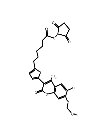 CC(=O)OCOc1cc2oc(=O)c(-c3ccc(CCCCCC(=O)ON4C(=O)CCC4=O)s3)c(C)c2cc1Cl